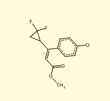 COC(=O)/C=C(\c1ccc(Cl)cc1)C1CC1(F)F